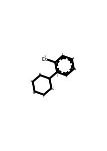 [CH2]Cc1ccccc1C1CCCCC1